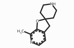 Cc1nccc2c1OC1(CCNCC1)C2